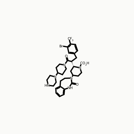 O=C(C(Cc1ccc(C(F)(F)F)c(Br)c1)[C@H]1CC(N2CCc3ccccc3NC2=O)CCN1C(=O)O)N1CCC(N2CCNCC2)CC1